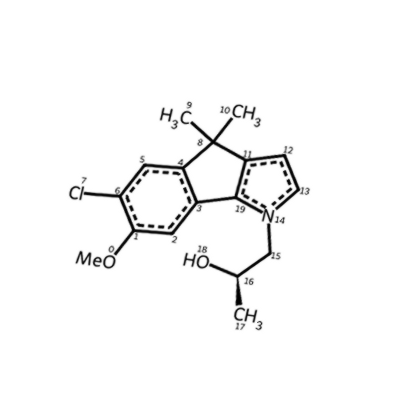 COc1cc2c(cc1Cl)C(C)(C)c1ccn(C[C@@H](C)O)c1-2